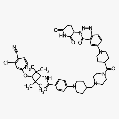 CC1(C)[C@H](NC(=O)c2ccc(N3CCC(CN4CCN(C(=O)C5CCN(c6ccc7nnn(C8CCC(=O)NC8=O)c(=O)c7c6)CC5)CC4)CC3)cc2)C(C)(C)[C@H]1Oc1ccc(C#N)c(Cl)c1